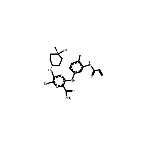 C=CC(=O)Nc1cc(Nc2nc(N[C@H]3CC[C@@](C)(O)CC3)c(CC)nc2C(N)=O)ccc1C